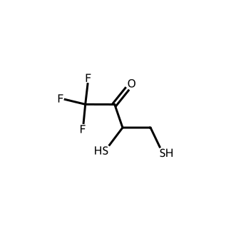 O=C(C(S)CS)C(F)(F)F